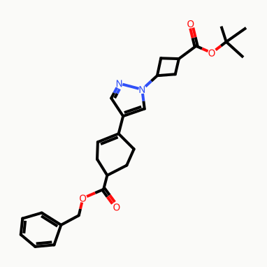 CC(C)(C)OC(=O)C1CC(n2cc(C3=CCC(C(=O)OCc4ccccc4)CC3)cn2)C1